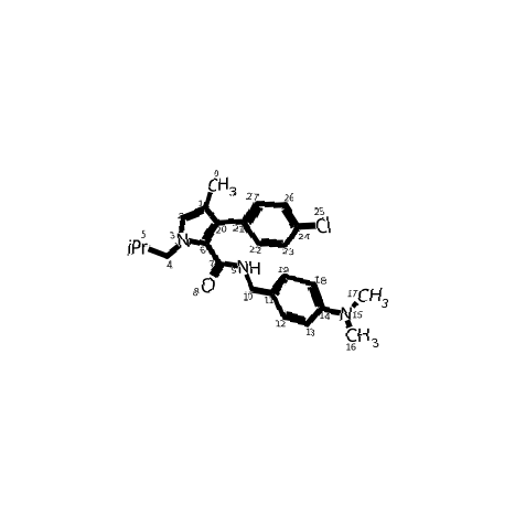 Cc1cn(CC(C)C)c(C(=O)NCc2ccc(N(C)C)cc2)c1-c1ccc(Cl)cc1